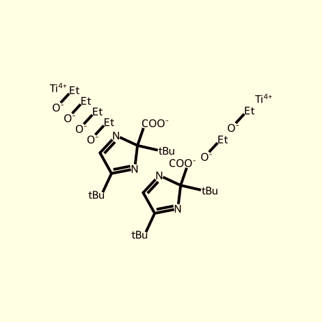 CC(C)(C)C1=NC(C(=O)[O-])(C(C)(C)C)N=C1.CC(C)(C)C1=NC(C(=O)[O-])(C(C)(C)C)N=C1.CC[O-].CC[O-].CC[O-].CC[O-].CC[O-].CC[O-].[Ti+4].[Ti+4]